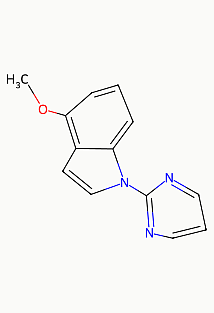 COc1cccc2c1ccn2-c1ncccn1